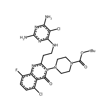 CC(C)(C)OC(=O)N1CCN(n2c(CCNc3nc(N)nc(N)c3Cl)nc3c(F)ccc(Cl)c3c2=O)CC1